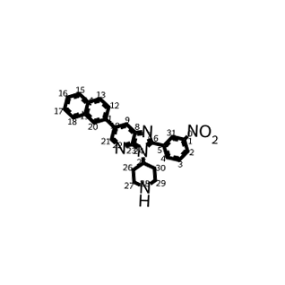 O=[N+]([O-])c1cccc(-c2nc3cc(-c4ccc5ccccc5c4)cnc3n2C2CCNCC2)c1